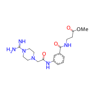 COC(=O)CCNC(=O)c1cccc(NC(=O)CN2CCN(C(=N)N)CC2)c1